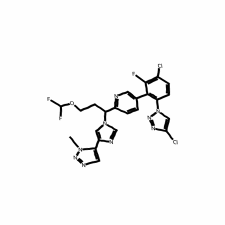 Cn1nncc1-c1cn(C(CCOC(F)F)c2ccc(-c3c(-n4cc(Cl)nn4)ccc(Cl)c3F)cn2)cn1